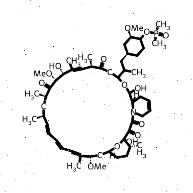 CO[C@H]1C[C@@H]2CC[C@@H](C)[C@@](O)(O2)C(=O)C(=O)N2CC=CC[C@H]2C(O)OC(C(C)C[C@@H]2CCC(OP(C)(C)=O)[C@H](OC)C2)CC(=O)[C@H](C)/C=C(\C)[C@@H](O)[C@@H](OC)C(=O)[C@H](C)C[C@H](C)/C=C/C=C/C=C/1C